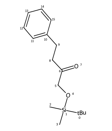 CC(C)(C)[Si](C)(C)OCC(=O)CCc1ccccc1